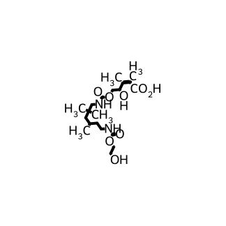 CC(C(=O)O)=C(C)C(O)COC(=O)NCC(C)(C)CC(C)CCNC(=O)OCCO